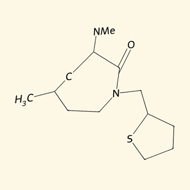 CNC1CC(C)CCN(CC2CCCS2)C1=O